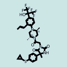 CC=Cc1cc(C(O)(C(F)(F)F)C(F)(F)F)ccc1N1C[C@@H](C)N(C(=O)CN2C(=O)NC(C)(c3ccc(SC4CC4)cc3)C2=O)C[C@@H]1C